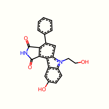 O=C1NC(=O)c2c1c(-c1ccccc1)cc1c2c2cc(O)ccc2n1CCO